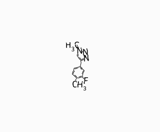 Cc1ccc(-c2cn(C)nn2)cc1F